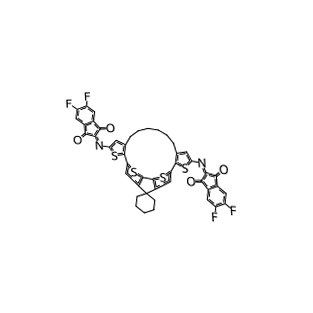 O=c1c(=Nc2cc3c(s2)-c2cc4c(s2)-c2sc(cc2C42CCCCC2)-c2sc(N=c4c(=O)c5cc(F)c(F)cc5c4=O)cc2CCCCCC3)c(=O)c2cc(F)c(F)cc12